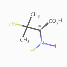 CC(C)(S)[C@@H](C(=O)O)N(F)I